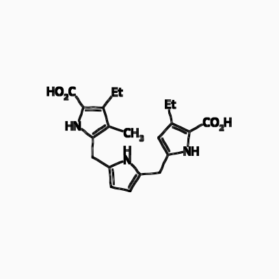 CCc1cc(Cc2ccc(Cc3[nH]c(C(=O)O)c(CC)c3C)[nH]2)[nH]c1C(=O)O